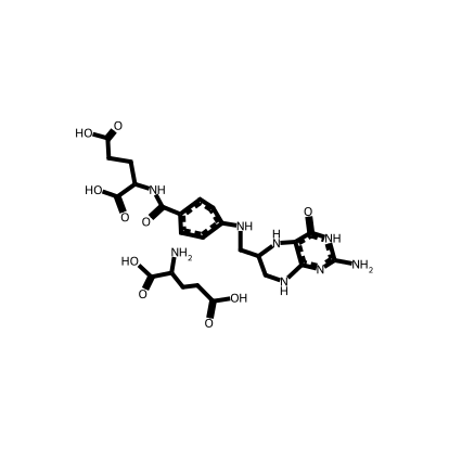 NC(CCC(=O)O)C(=O)O.Nc1nc2c(c(=O)[nH]1)NC(CNc1ccc(C(=O)NC(CCC(=O)O)C(=O)O)cc1)CN2